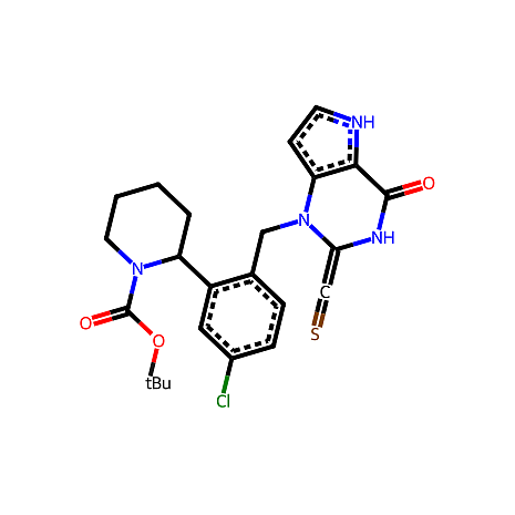 CC(C)(C)OC(=O)N1CCCCC1c1cc(Cl)ccc1CN1C(=C=S)NC(=O)c2[nH]ccc21